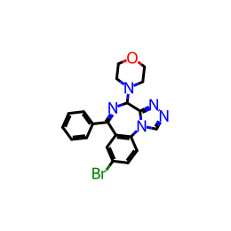 Brc1ccc2c(c1)C(c1ccccc1)=NC(N1CCOCC1)c1nncn1-2